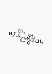 CCOC(=O)N(N)c1cccc(N(CC)CC)c1